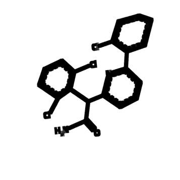 NC(=O)C(c1cccc(-c2ccccc2Cl)n1)c1c(Cl)cccc1Cl